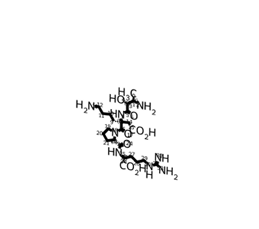 C[C@@H](N)[C@H](O)C(=O)N[C@@](CCCCN)(CC(=O)O)C(=O)N1CCC[C@H]1C(=O)N[C@@H](CCCNC(=N)N)C(=O)O